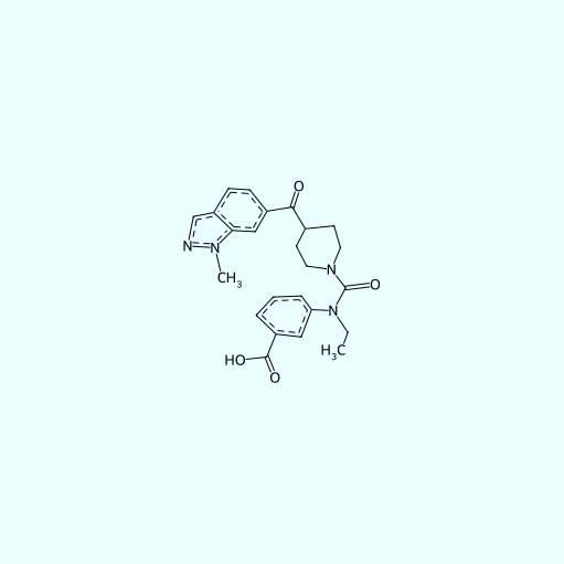 CCN(C(=O)N1CCC(C(=O)c2ccc3cnn(C)c3c2)CC1)c1cccc(C(=O)O)c1